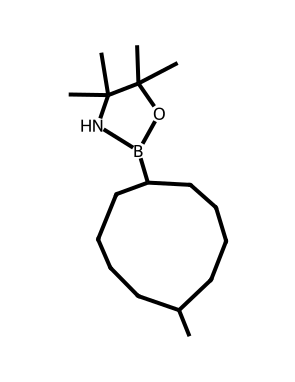 CC1CCCCC(B2NC(C)(C)C(C)(C)O2)CCCC1